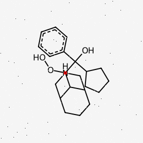 OOC(C1C2CCCC1CNC2)C(O)(c1ccccc1)C1CCCC1